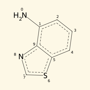 Nc1cccc2s[c]nc12